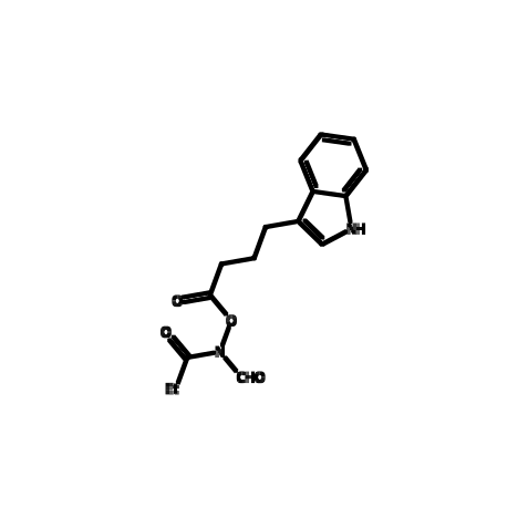 CCC(=O)N(C=O)OC(=O)CCCc1c[nH]c2ccccc12